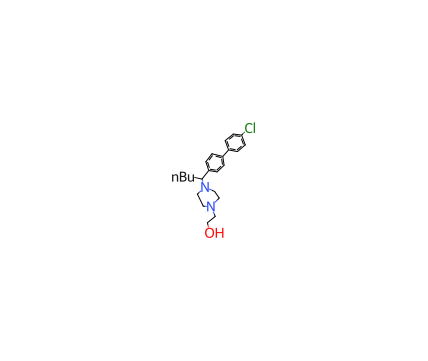 CCCCC(c1ccc(-c2ccc(Cl)cc2)cc1)N1CCN(CCO)CC1